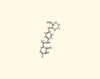 Cc1ccc(C(=O)Nc2ccc(OC3CCCCC3O)cc2)c(=S)[nH]1